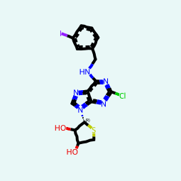 OC1CS[C@@H](n2cnc3c(NCc4cccc(I)c4)nc(Cl)nc32)C1O